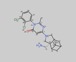 Cc1nc(N2CC3CC4CC(C4(C)C)[C@@]3(CN)C2)cc(=O)n1-c1cccc(Cl)c1Cl